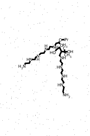 CC(C)OC(CNCCNCCNCCNCCN)OC(CO)C(CNCCNCCNCCNCCN)C(C)(C)O